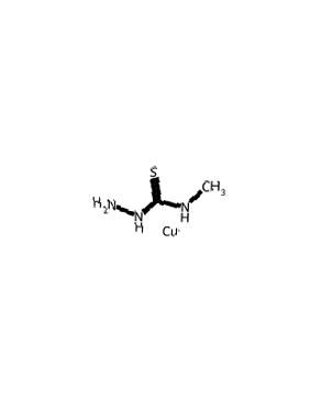 CNC(=S)NN.[Cu]